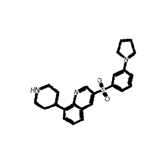 O=S(=O)(c1cccc(N2CCCC2)c1)c1cnc2c(C3CCNCC3)cccc2c1